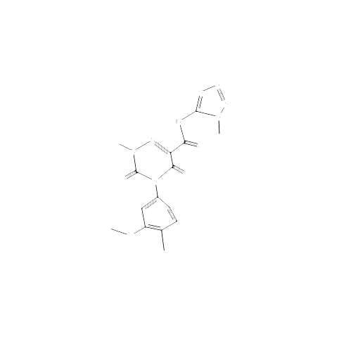 COc1cc(-n2c(=O)c(C(=O)Nc3nnnn3C)nn(C)c2=O)ccc1F